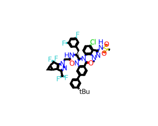 Cn1nc(NS(C)(=O)=O)c2c(Cl)ccc(-n3c([C@H](Cc4cc(F)cc(F)c4)NC(=O)Cn4nc(C(F)F)c5c4C(F)(F)C4CC54)nc4cc(-c5cccc(C(C)(C)C)c5)ccc4c3=O)c21